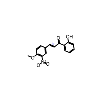 COc1ccc(/C=C/C(=O)c2ccccc2O)cc1[N+](=O)[O-]